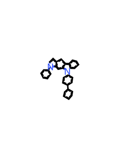 c1ccc(-c2ccc(-n3c4ccccc4c4cc5ccn(-c6ccccc6)c5cc43)cc2)cc1